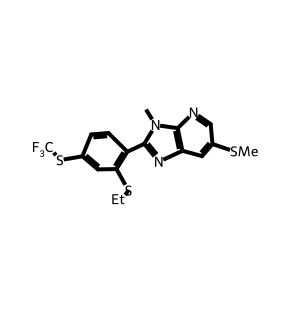 CCSc1cc(SC(F)(F)F)ccc1-c1nc2cc(SC)cnc2n1C